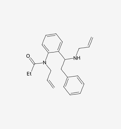 C=CCNC(Cc1ccccc1)c1ccccc1N(CC=C)C(=O)CC